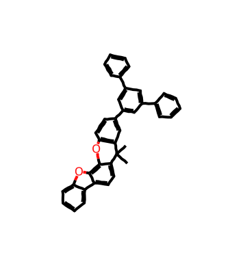 CC1(C)c2cc(-c3cc(-c4ccccc4)cc(-c4ccccc4)c3)ccc2Oc2c1ccc1c2oc2ccccc21